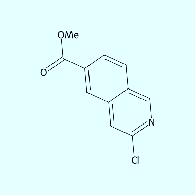 COC(=O)c1ccc2cnc(Cl)cc2c1